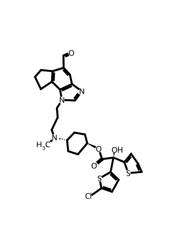 CN(CCCn1cnc2cc(C=O)c3c(c21)CCC3)[C@H]1CC[C@H](OC(=O)[C@@](O)(c2cccs2)c2ccc(Cl)s2)CC1